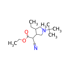 CCOC(=O)C(C#N)C1CN(C(C)(C)C)CC1CC